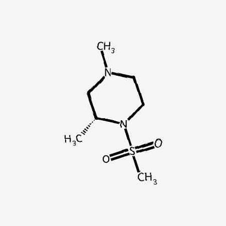 C[C@@H]1CN(C)CCN1S(C)(=O)=O